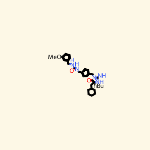 CCCCC1(CC2CCCCC2)NC(=N)N(Cc2ccc(CNC(=O)NCc3cccc(OC)c3)cc2)C1=O